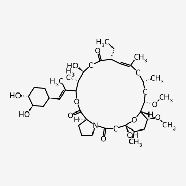 CC[C@@H]1/C=C(\C)C[C@H](C)C[C@H](OC)[C@H]2O[C@@](O)(CC(=O)N3CCC[C@H]3C(=O)OC(/C(C)=C/[C@@H]3CC[C@@H](O)[C@H](O)C3)[C@H](C)[C@@H](O)CC1=O)[C@H](C)C[C@@H]2OC